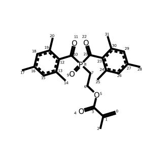 C=C(C)C(=O)OCCP(=O)(C(=O)c1c(C)cc(C)cc1C)C(=O)c1c(C)cc(C)cc1C